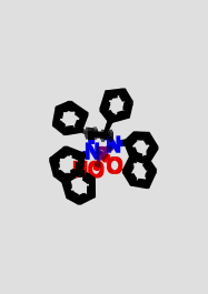 O=P1(O)N(c2cccc3ccccc23)[C@H](c2ccccc2)[C@@H](c2ccccc2)N1c1cccc2ccccc12